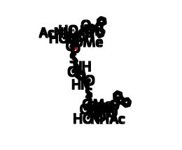 COC(=O)[C@@]1(OCCCSCCNC(=O)c2ccc(C(=O)NCCSCCCO[C@]3(C(=O)OC)C[C@H](O)[C@@H](NC(C)=O)C([C@H](O)[C@H](O)CNC(=O)OCC4c5ccccc5-c5ccccc54)O3)cc2)C[C@@H](O)[C@@H](NC(C)=O)C([C@H](O)[C@H](O)CNC(=O)OCC2c3ccccc3-c3ccccc32)O1